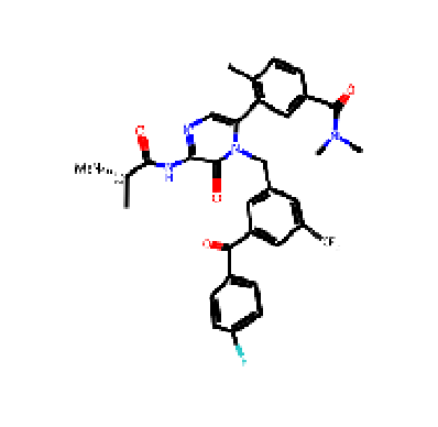 CN[C@@H](C)C(=O)Nc1ncc(-c2cc(C(=O)N(C)C)ccc2C)n(Cc2cc(C(=O)c3ccc(F)cc3)cc(C(F)(F)F)c2)c1=O